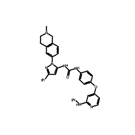 CC(C)Nc1cc(Oc2ccc(NC(=O)Nc3cc(C(C)C)nn3-c3ccc4c(c3)CCN(C)C4)cc2)ccn1